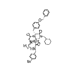 CN1CC(=O)N2[C@H](Cc3ccc(OCc4ccccc4)cc3)C(=O)N(CC3CCCCC3)C[C@@H]2N1C(=O)NCc1ccc(Br)cc1